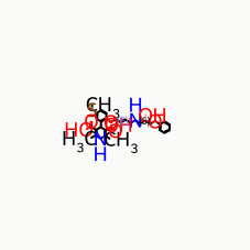 CSc1ccc(OC/C=C/CNC[C@H](O)COc2ccccc2)c(C2C(C(=O)O)=C(C)NC(C)=C2C(=O)O)c1